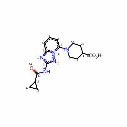 O=C(O)C1CCN(c2cccc3nc(NC(=O)C4CC4)nn23)CC1